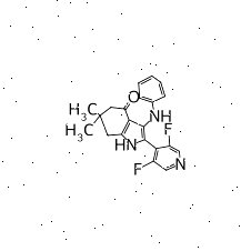 CC1(C)CC(=O)c2c([nH]c(-c3c(F)cncc3F)c2Nc2ccccc2)C1